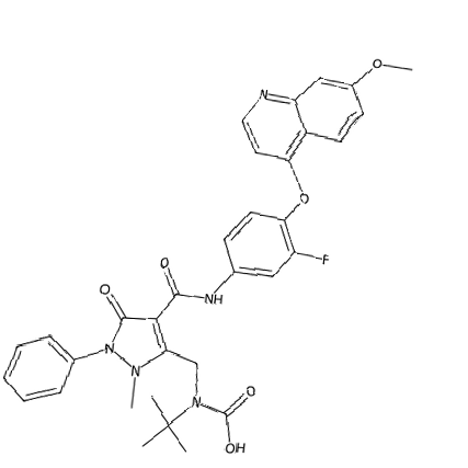 COc1ccc2c(Oc3ccc(NC(=O)c4c(CN(C(=O)O)C(C)(C)C)n(C)n(-c5ccccc5)c4=O)cc3F)ccnc2c1